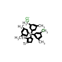 CCC1=[C]([Ti+3])CC=C1[Si](c1cc(C)cc(C)c1)(c1cc(C)cc(C)c1)c1cc(C)cc(C)c1.[Cl-].[Cl-].[Cl-]